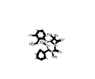 CCCN(C(=O)N1C(=O)C(CC)(CC)[C@@H]1Oc1cccc(F)c1CO)[C@H](OCC)c1ccccc1